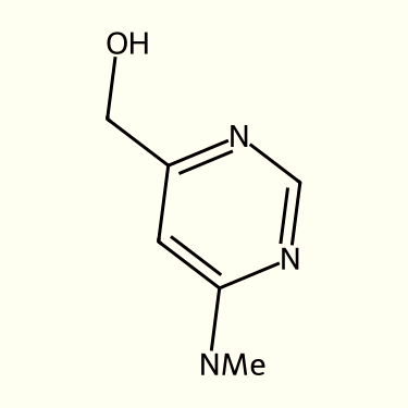 CNc1cc(CO)ncn1